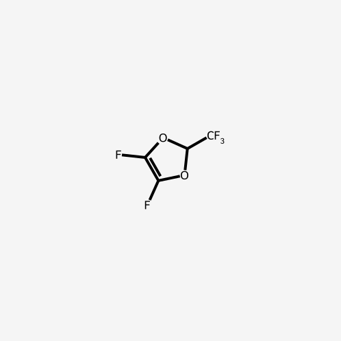 FC1=C(F)OC(C(F)(F)F)O1